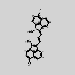 CCCCn1/c(=C\C=C\C2=[N+](CCCC)c3ccc(Cl)c4cccc2c34)c2cccc3c(Cl)ccc1c32